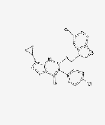 O=c1c2ncn(C3CC3)c2nc(SCc2csc3ccc(Cl)cc23)n1-c1ccc(Cl)cc1